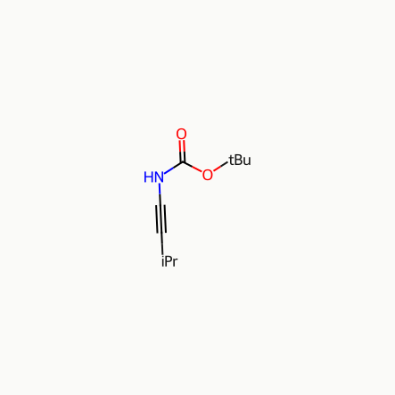 CC(C)C#CNC(=O)OC(C)(C)C